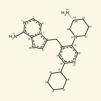 Nc1nccn2c(Cc3cc(C4CCCCC4)ncc3N3CCC[C@@H](N)C3)cnc12